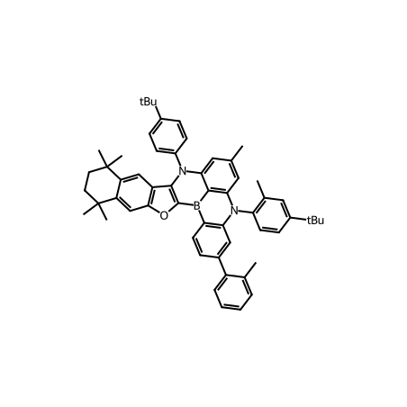 Cc1cc2c3c(c1)N(c1ccc(C(C)(C)C)cc1)c1c(oc4cc5c(cc14)C(C)(C)CCC5(C)C)B3c1ccc(-c3ccccc3C)cc1N2c1ccc(C(C)(C)C)cc1C